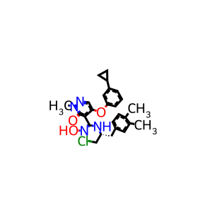 Cc1ccc(C[C@H](CCl)NC(=NO)c2c(Oc3cccc(C4CC4)c3)cnn(C)c2=O)cc1C